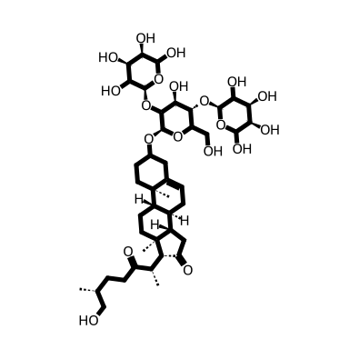 C[C@@H](CO)CCC(=O)[C@@H](C)[C@H]1C(=O)C[C@H]2[C@@H]3CC=C4CC(O[C@@H]5OC(CO)[C@@H](O[C@@H]6OC(O)[C@H](O)[C@H](O)C6O)[C@H](O)C5O[C@@H]5OC(O)[C@H](O)[C@H](O)C5O)CC[C@]4(C)[C@H]3CC[C@]12C